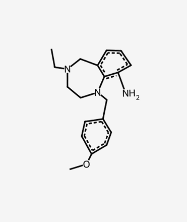 CCN1CCN(Cc2ccc(OC)cc2)c2c(N)cccc2C1